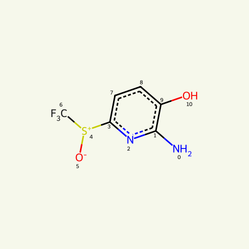 Nc1nc([S+]([O-])C(F)(F)F)ccc1O